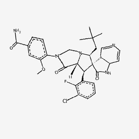 COc1cc(C(N)=O)ccc1N1CN2[C@@H](CC(C)(C)C)[C@@]3(C(=O)NC4C=CN=CC43)[C@@H](c3cccc(Cl)c3F)[C@@H]2C1=O